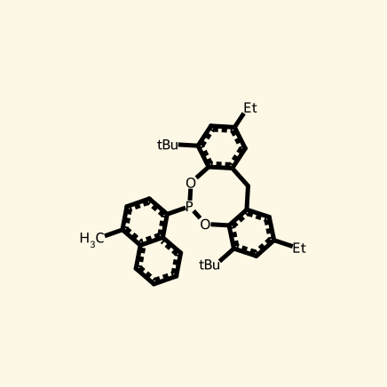 CCc1cc2c(c(C(C)(C)C)c1)OP(c1ccc(C)c3ccccc13)Oc1c(cc(CC)cc1C(C)(C)C)C2